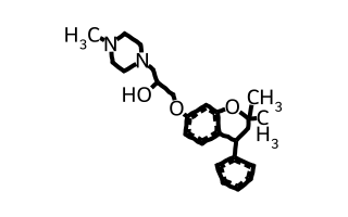 CN1CCN(CC(O)COc2ccc3c(c2)OC(C)(C)CC3c2ccccc2)CC1